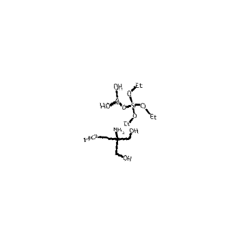 CCO[Si](OCC)(OCC)OB(O)O.NC(CO)(CO)CO